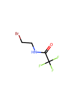 O=C(NCCBr)C(F)(F)F